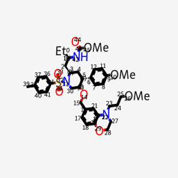 CC[C@H](C[C@H]1C[C@H](c2ccc(OC)cc2)[C@@H](OCc2ccc3c(c2)N(CCCOC)CCO3)CN1S(=O)(=O)c1ccc(C)cc1)NC(=O)OC